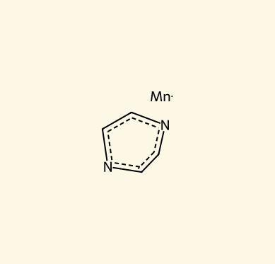 [Mn].c1cnccn1